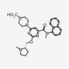 CN(C(=O)c1cc(N2CCN(C(=O)O)CC2)nc(OC[C@@H]2CCCN2C)n1)c1cccc2ccccc12